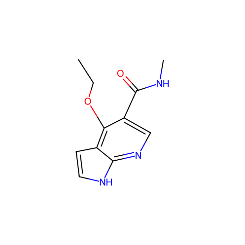 CCOc1c(C(=O)NC)cnc2[nH]ccc12